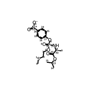 CSCCOP(=O)(N[C@@H](C)C(=O)OC(C)C)Oc1ccc([N+](=O)[O-])cc1